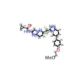 COCCOc1ccc(-c2ccc3nnc(C(F)(F)c4ccc5nc(NC(=O)C6CC6)cn5n4)n3c2)cc1